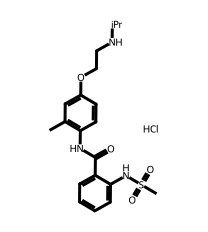 Cc1cc(OCCNC(C)C)ccc1NC(=O)c1ccccc1NS(C)(=O)=O.Cl